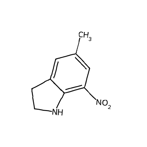 Cc1cc2c(c([N+](=O)[O-])c1)NCC2